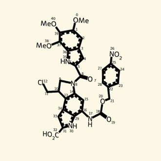 COc1cc2cc(C(=O)N3CC(CCl)c4c3cc(NC(=O)OCc3ccc([N+](=O)[O-])cc3)c3[nH]c(C(=O)O)cc43)[nH]c2c(OC)c1OC